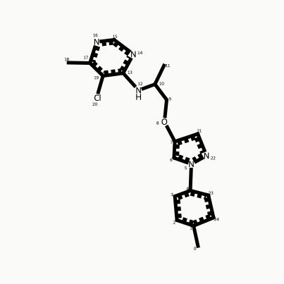 Cc1ccc(-n2cc(OCC(C)Nc3ncnc(C)c3Cl)cn2)cc1